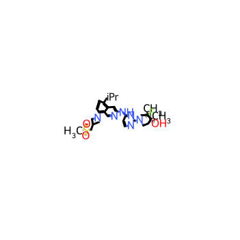 CC(C)c1ccc(N2CC(CS(C)(=O)=O)C2)c2cnc(Nc3ccnc(N4CC[C@](C)(O)[C@@](C)(F)C4)n3)cc12